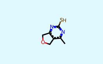 Cc1nc(S)nc2c1COC2